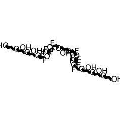 OCCCOCC(O)COCC(O)COCC(F)(F)OC(F)(F)C(F)(F)OC(F)(F)COCC(O)COCC(F)(F)OC(F)(F)C(F)(F)OC(F)(F)COCC(O)COCC(O)COCCCO